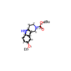 CCOc1ccc2[nH]c3c(c2c1)CN(C(=O)OC(C)(C)C)CC3